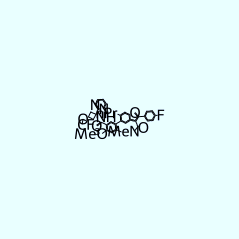 CCCc1cc2oc(-c3ccc(F)cc3)c(C(=O)NC)c2cc1-c1cc(C(=O)NC2(c3ncccn3)CC(OC(F)(F)F)C2)c(OC)cc1C